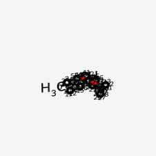 Cc1ccc2c(c1)C1(c3ccccc3-c3ccc(N(c4ccc(-n5c6ccccc6c6ccccc65)cc4)c4ccccc4-c4ccccc4)cc31)c1cc(C)ccc1-2